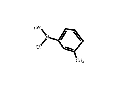 CCCN(CC)c1cccc(C)c1